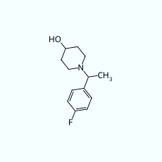 CC(c1ccc(F)cc1)N1CCC(O)CC1